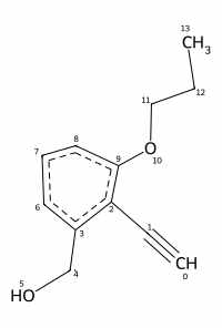 C#Cc1c([CH]O)cccc1OCCC